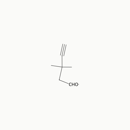 C#CC(C)(C)C[C]=O